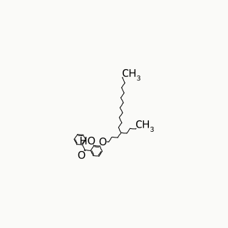 CCCCCCCCCCCCC(CCCC)CCCOc1cccc(C(=O)c2ccccc2)c1O